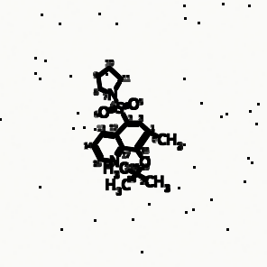 Cc1cc(S(=O)(=O)N2CCCC2)c2cccnc2c1OC(C)(C)C